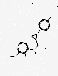 CN(CC1CC1c1ccc(F)cc1)c1ccnc(NN)c1C(F)(F)F